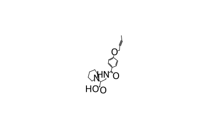 CC#CCOc1ccc(C(=O)NCC(C(=O)O)N2CCCCC2)cc1